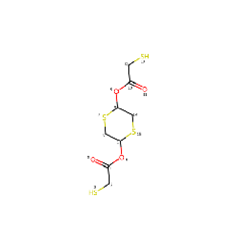 O=C(CS)OC1CSC(OC(=O)CS)CS1